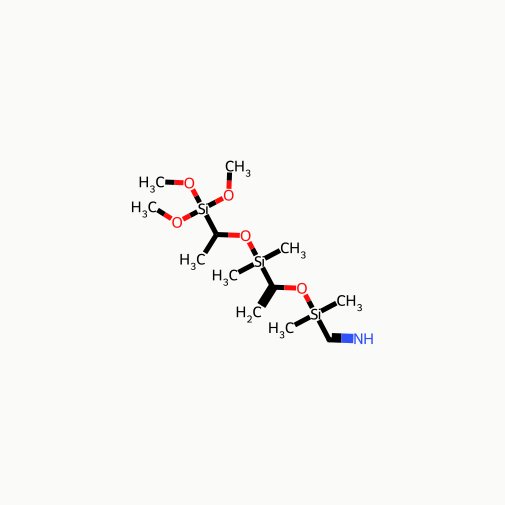 C=C(O[Si](C)(C)C=N)[Si](C)(C)OC(C)[Si](OC)(OC)OC